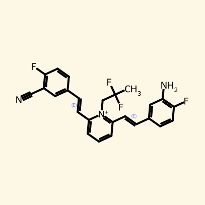 CC(F)(F)C[n+]1c(/C=C/c2ccc(F)c(N)c2)cccc1/C=C/c1ccc(F)c(C#N)c1